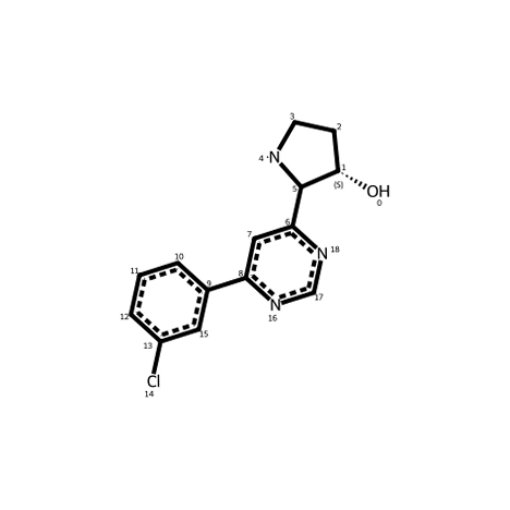 O[C@H]1CC[N]C1c1cc(-c2cccc(Cl)c2)ncn1